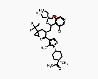 CC[Si](CC)(CC)OC(CN(CC1(C(F)(F)F)CC1)C(=O)c1cnn([C@H]2CC[C@](C)(C(C)=O)CC2)c1C)c1c(Cl)cncc1Cl